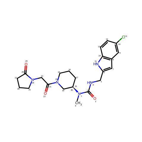 CN(C(=O)NCc1cc2cc(Cl)ccc2[nH]1)[C@@H]1CCCN(C(=O)CN2CCCC2=O)C1